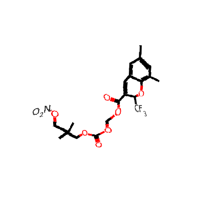 Cc1cc(C)c2c(c1)C=C(C(=O)OCOC(=O)OCC(C)(C)CO[N+](=O)[O-])C(C(F)(F)F)O2